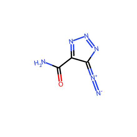 [N-]=[N+]=C1N=NN=C1C(N)=O